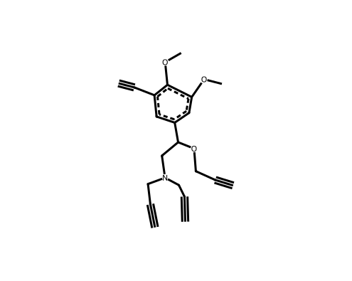 C#CCOC(CN(CC#C)CC#C)c1cc(C#C)c(OC)c(OC)c1